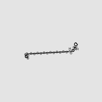 O=C(CCOCCOCCOCCOCCOCCOCCOCCOCCOCCOCCOCCOCCNC(=O)c1ccc(NC(=O)OC2CC/C=C/CCC2)cc1)ON1C(=O)CCC1=O